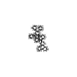 c1ccc(-c2ccc(N3c4ccccc4B4c5cc(-c6ccccc6)c(-c6ccccc6)cc5N(c5ccccc5)c5cccc3c54)cc2-c2ccccc2)cc1